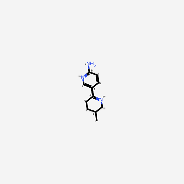 CC1CCC(c2ccc(N)nc2)=NC1